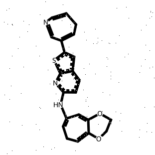 C1=CN=CC(c2cc3ccc(NC4=CCC=C5OCCOC5=C4)nc3s2)=CC1